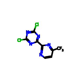 FC(F)(F)c1ccnc(-c2nc(Cl)nc(Cl)n2)n1